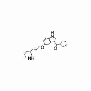 O=C(C1CCCC1)C1CNc2ccc(OCCCC3CCCNC3)cc21